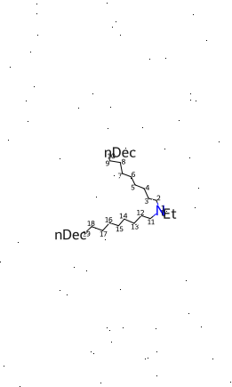 [CH2]CN(CCCCCCCCCCCCCCCCCC)CCCCCCCCCCCCCCCCCC